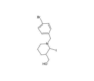 OCC1CCCN(Cc2ccc(Br)cc2)C1I